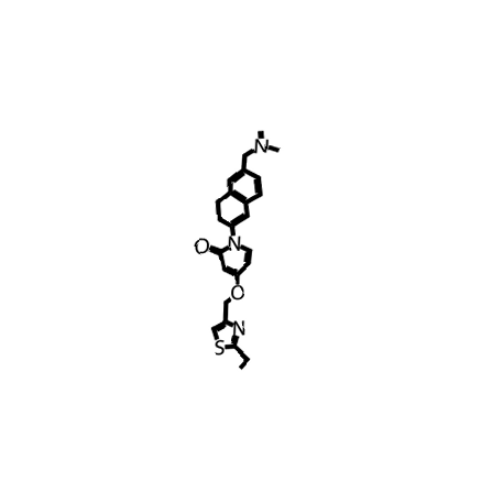 CCc1nc(COc2ccn(C3=Cc4ccc(CN(C)C)cc4CC3)c(=O)c2)cs1